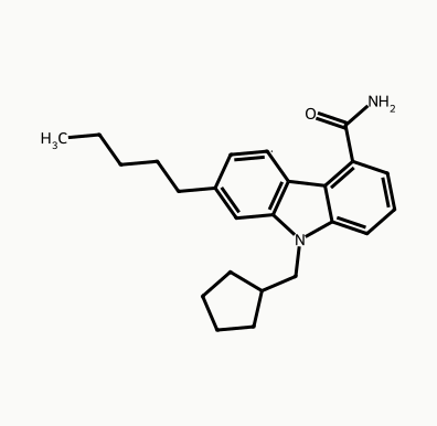 CCCCCc1c[c]c2c3c(C(N)=O)cccc3n(CC3CCCC3)c2c1